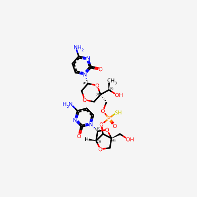 C[C@@H](O)[C@@]1(COP(=O)(S)OC2[C@@H]3OC[C@@]2(CO)O[C@H]3n2ccc(N)nc2=O)COC[C@H](n2ccc(N)nc2=O)O1